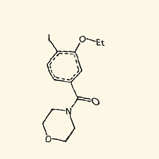 CCOc1cc(C(=O)N2CCOCC2)ccc1I